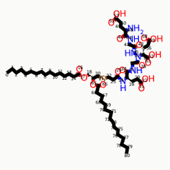 CCCCCCCCCCCCCCCC(=O)OC[C@H](CSCCC(=O)N[C@H](CCC(=O)O)C(=O)NCC(=O)N(NC(=O)CNC(=O)C(N)CCC(=O)O)[C@H](CCC(=O)O)C(=O)O)OC(=O)CCCCCCCCCCCCCCC